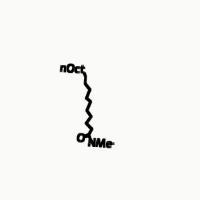 CCCCCCCCCCCCCCCCCC(=O)[N]C